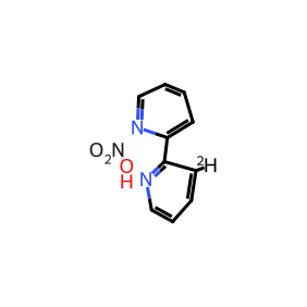 O=[N+]([O-])O.[2H]c1cccnc1-c1ccccn1